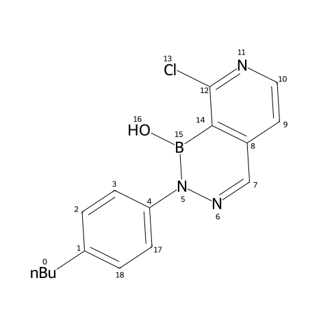 CCCCc1ccc(N2N=Cc3ccnc(Cl)c3B2O)cc1